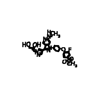 CCNc1cc2c(cn1)c(-c1cnn(C[C@@H](O)CO)c1)nn2[C@H]1CC[C@@H](Oc2ccc(S(C)(=O)=O)cc2F)CC1